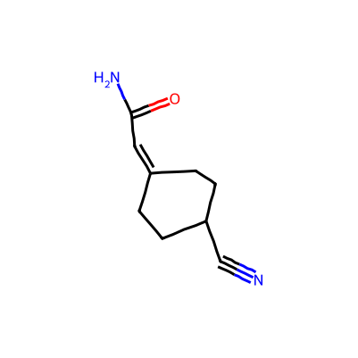 N#CC1CCC(=CC(N)=O)CC1